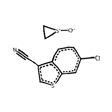 N#Cc1csc2cc(Cl)ccc12.[O-][S+]1CC1